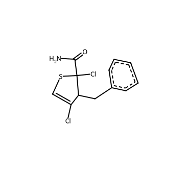 NC(=O)C1(Cl)SC=C(Cl)C1Cc1ccccc1